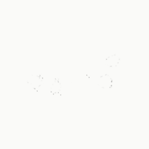 [c]1cccc(CN2CCC(c3nnc(-c4ncccn4)[nH]3)CC2)c1-c1ccccc1